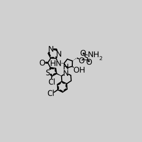 NS(=O)(=O)OC[C@H]1C[C@@H](Nc2ncncc2C(=O)c2cc([C@H]3NCCc4ccc(Cl)cc43)c(Cl)s2)C[C@@H]1O